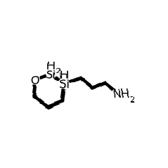 NCCC[SiH]1CCCO[SiH2]1